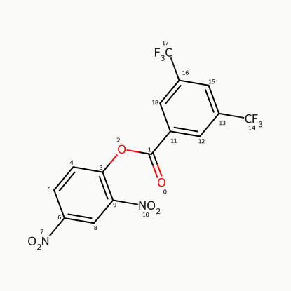 O=C(Oc1ccc([N+](=O)[O-])cc1[N+](=O)[O-])c1cc(C(F)(F)F)cc(C(F)(F)F)c1